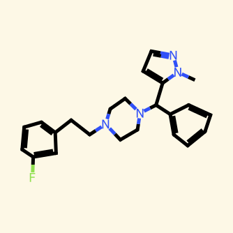 Cn1nccc1C(c1ccccc1)N1CCN(CCc2cccc(F)c2)CC1